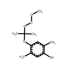 COOOC(C)(C)Oc1cc(C)c(S)cc1C